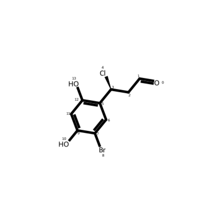 O=CC[C@H](Cl)c1cc(Br)c(O)cc1O